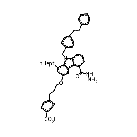 CCCCCCCc1cc(OCCCc2ccc(C(=O)O)cc2)cc2c3c(C(=O)NN)cccc3n(Cc3ccc(CCc4ccccc4)cc3)c12